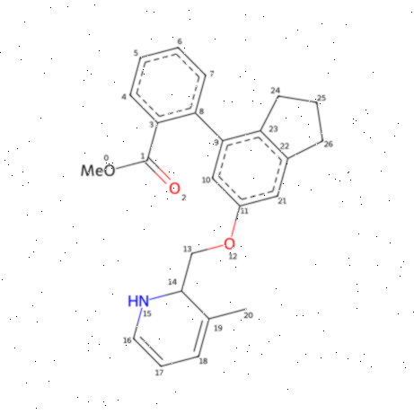 COC(=O)c1ccccc1-c1cc(OCC2NC=CC=C2C)cc2c1CCC2